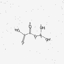 O=C(O)C(=O)OB(O)O